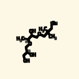 C[C@H](OC[C@@H](O)CO)C(O)COCC(C)(C)CC(C)(C)C